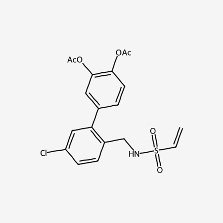 C=CS(=O)(=O)NCc1ccc(Cl)cc1-c1ccc(OC(C)=O)c(OC(C)=O)c1